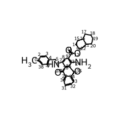 Cc1ccc(CNc2cc(C(=O)OC3CCC4CCCCC4C3)c(N)c3c2C(=O)c2ccccc2C3=O)cc1